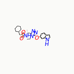 CCn1c(Oc2ccc3cc[nH]c3c2)nnc1[C@@H](C)NS(=O)(=O)CC1CCCCC1